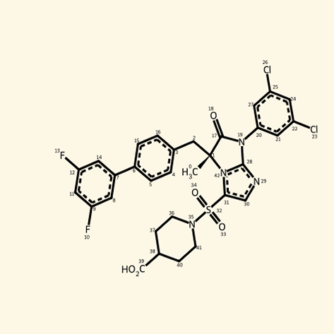 C[C@@]1(Cc2ccc(-c3cc(F)cc(F)c3)cc2)C(=O)N(c2cc(Cl)cc(Cl)c2)c2ncc(S(=O)(=O)N3CCC(C(=O)O)CC3)n21